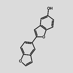 Oc1ccc2oc(-c3ccc4occc4c3)cc2c1